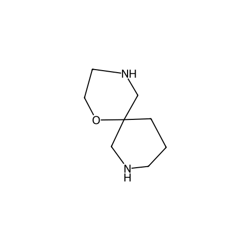 C1CNCC2(C1)CNCCO2